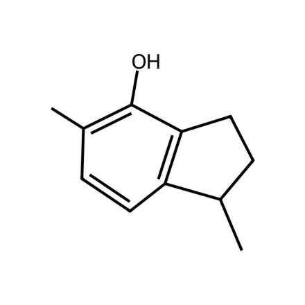 Cc1ccc2c(c1O)CCC2C